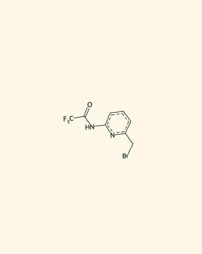 O=C(Nc1cccc(CBr)n1)C(F)(F)F